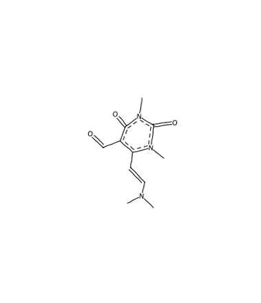 CN(C)C=Cc1c(C=O)c(=O)n(C)c(=O)n1C